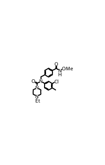 CCN1CCN(C(=O)N(Cc2ccc(C(=O)NOC)cc2)c2ccc(C)c(Cl)c2)CC1